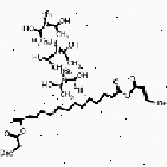 CCCCCCCCCCC=CC(=O)OC(=O)CCCCCCCCCCCCC(=O)OC(=O)CCCCCCCCCCC.CCCCN(C(C)O)C(C)O.CCCCN(C(C)O)C(C)O.CCCCN(C(C)O)C(C)O